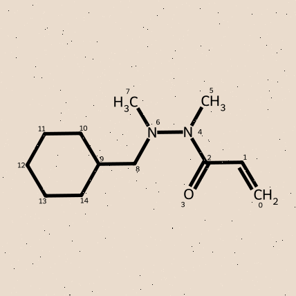 C=CC(=O)N(C)N(C)CC1CCCCC1